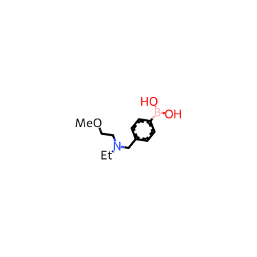 CCN(CCOC)Cc1ccc(B(O)O)cc1